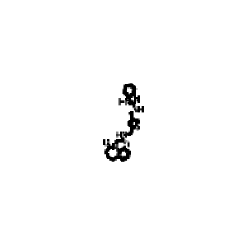 O=C(CN1C(=O)CC[C]c2ccccc21)NCc1cc(CNc2nc3ccccc3[nH]2)cs1